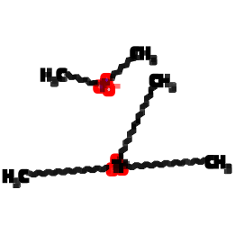 CCCCCCCCCCCCCCCCCC[O][Ti+]([O]CCCCCCCCCCCCCCCCCC)[O]CCCCCCCCCCCCCCCCCC.CCCCCCCCOP([O-])OCCCCCCCC